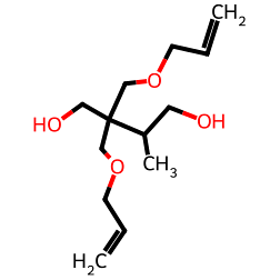 C=CCOCC(CO)(COCC=C)C(C)CO